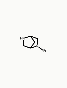 CC(C)N1CC2CC1CN2